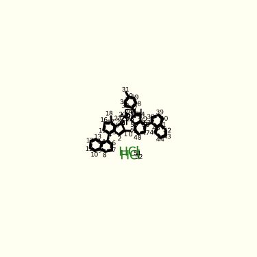 CC1=Cc2c(-c3cccc4ccccc34)ccc(C)c2[CH]1[Zr]([CH3])([CH3])(=[SiH2])[CH]1C(c2ccc(C)cc2)=Cc2c(-c3cccc4ccccc34)cccc21.Cl.Cl